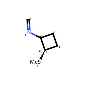 C=NC1CC[C@H]1SC